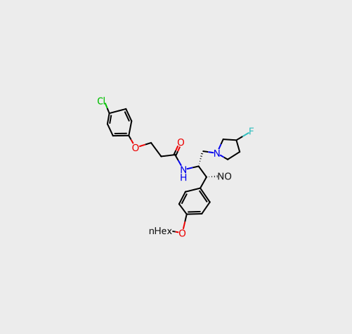 CCCCCCOc1ccc([C@@H](N=O)[C@@H](CN2CCC(F)C2)NC(=O)CCOc2ccc(Cl)cc2)cc1